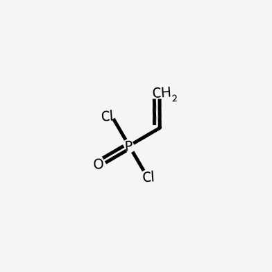 C=CP(=O)(Cl)Cl